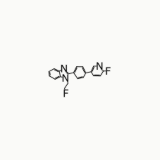 FCCn1c(-c2ccc(-c3ccc(F)nc3)cc2)nc2ccccc21